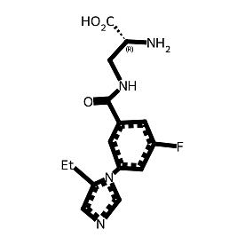 CCc1cncn1-c1cc(F)cc(C(=O)NC[C@@H](N)C(=O)O)c1